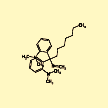 C=NC(CCCCCCC)(c1ccccc1N(C)C)c1ccccc1N(C)C